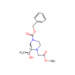 C[C@H](O)[C@H]1CN(C(=O)OCc2ccccc2)CCN1CC(=O)OC(C)(C)C